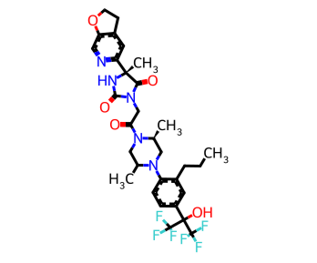 CCCc1cc(C(O)(C(F)(F)F)C(F)(F)F)ccc1N1C[C@H](C)N(C(=O)CN2C(=O)N[C@](C)(c3cc4c(cn3)OCC4)C2=O)CC1C